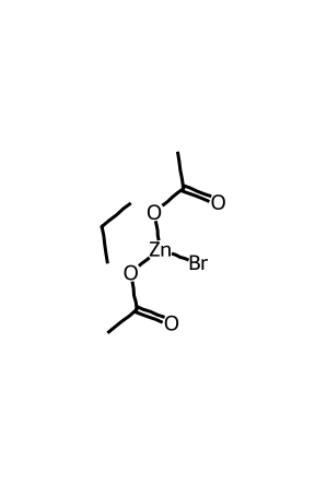 CC(=O)[O][Zn]([Br])[O]C(C)=O.CCC